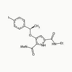 CCNC(=O)c1cc(O[C@H](C)c2ccc(I)cc2)c(C(=O)NC)[nH]1